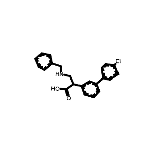 O=C(O)C(CNCc1ccccc1)c1cccc(-c2ccc(Cl)cc2)c1